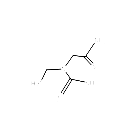 CCN(CC(N)=S)C(C)=O